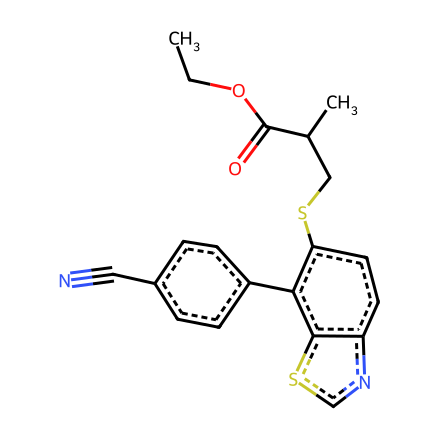 CCOC(=O)C(C)CSc1ccc2ncsc2c1-c1ccc(C#N)cc1